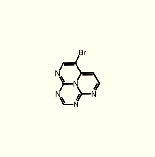 BrC1=CN=C2N=CN=C3N=CC=C1N32